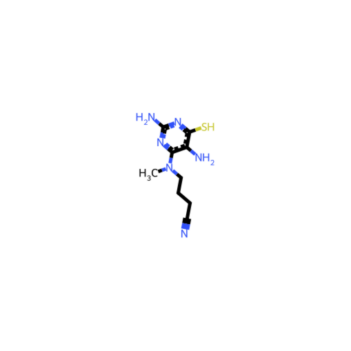 CN(CCCC#N)c1nc(N)nc(S)c1N